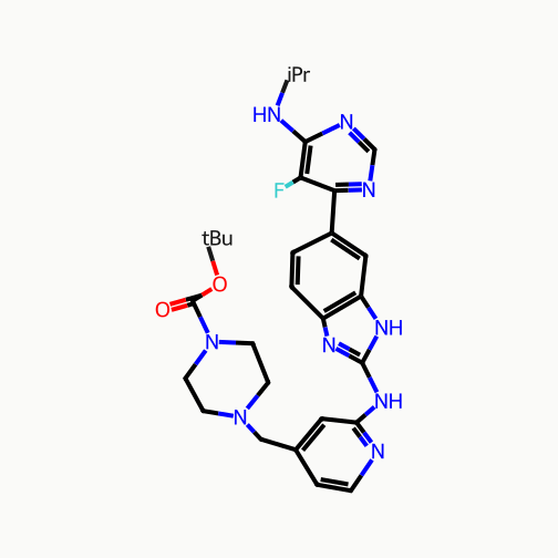 CC(C)Nc1ncnc(-c2ccc3nc(Nc4cc(CN5CCN(C(=O)OC(C)(C)C)CC5)ccn4)[nH]c3c2)c1F